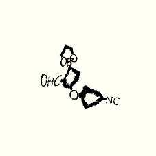 [C-]#[N+]c1ccc(Oc2ccc(B3OCCCO3)c(C=O)c2)cc1